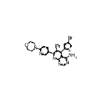 CC(C)c1c(-c2ccc(N3CCOCC3)nc2)nc2ncnc(N)c2c1-c1cc(Br)cs1